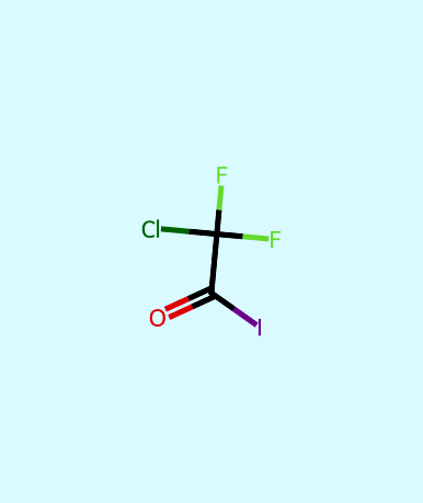 O=C(I)C(F)(F)Cl